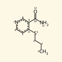 CCCSc1ccncc1C(N)=O